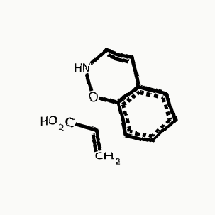 C1=Cc2ccccc2ON1.C=CC(=O)O